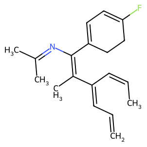 C=C/C=C(\C=C/C)C(/C)=C(/N=C(C)C)C1=CC=C(F)CC1